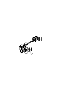 C=C(O)[C@H](c1ccccc1C(C)(F)F)N1CC[C@@H](OCCCCCc2ccc3c(n2)NCCC3)C1